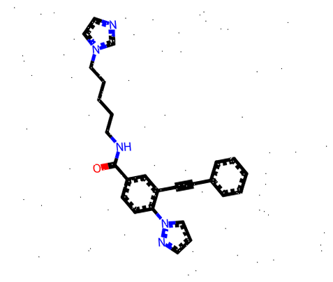 O=C(NCCCCCn1ccnc1)c1ccc(-n2cccn2)c(C#Cc2ccccc2)c1